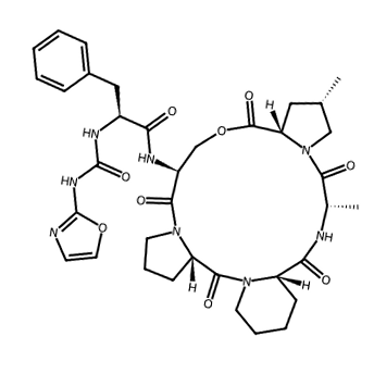 C[C@H]1C[C@H]2C(=O)OC[C@H](NC(=O)[C@H](Cc3ccccc3)NC(=O)Nc3ncco3)C(=O)N3CCC[C@H]3C(=O)N3CCCC[C@H]3C(=O)N[C@@H](C)C(=O)N2C1